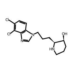 O[C@H]1CCCN[C@H]1CCCn1cnc2c(Cl)c(Cl)ccc21